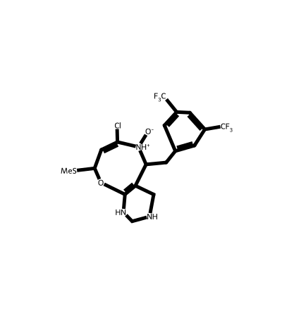 CSC1/C=C(/Cl)[NH+]([O-])C(Cc2cc(C(F)(F)F)cc(C(F)(F)F)c2)C2=C(NCNC2)O1